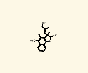 CCCC1Oc2c(c(C)c(OC(C)=O)c3ccccc23)C1(C)/C=C(\C)CC(C)C